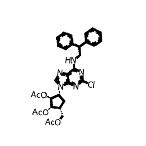 CC(=O)OC[C@H]1C[C@@H](n2cnc3c(NCC(c4ccccc4)c4ccccc4)nc(Cl)nc32)[C@H](OC(C)=O)[C@H]1OC(C)=O